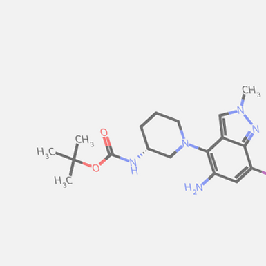 Cn1cc2c(N3CCC[C@@H](NC(=O)OC(C)(C)C)C3)c(N)cc(I)c2n1